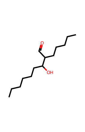 CCCCCCC(O)C(C=O)CCCCC